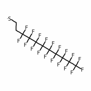 FC(F)(F)C(F)(F)C(F)(F)C(F)(F)C(F)(F)C(F)(F)C(F)(F)C(F)(F)C(F)(F)CC[S]